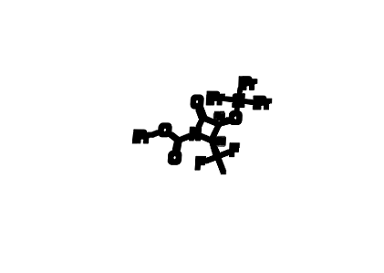 CC(C)OC(=O)N1C(=O)[C@@H](O[Si](C(C)C)(C(C)C)C(C)C)[C@H]1C(C)(F)F